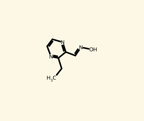 CCc1nccnc1/C=N/O